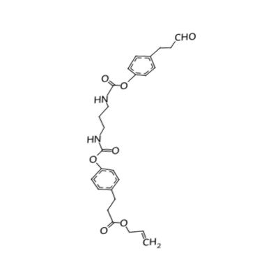 C=CCOC(=O)CCc1ccc(OC(=O)NCCCNC(=O)Oc2ccc(CCC=O)cc2)cc1